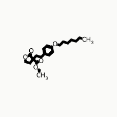 CCCCCCCOc1ccc(CCC2(C(=O)OCC)CCOC2=O)cc1